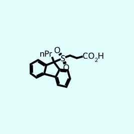 CCCC1(S(=O)(=O)CCC(=O)O)c2ccccc2-c2ccccc21